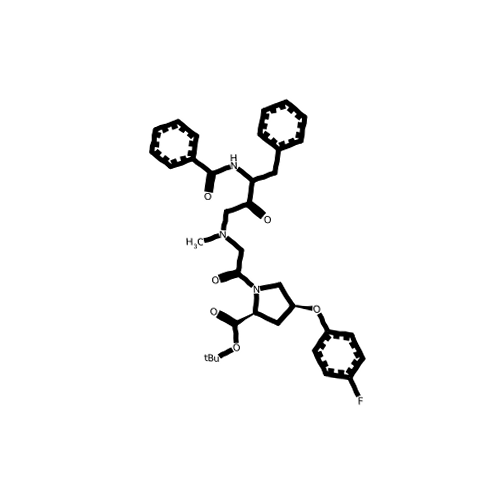 CN(CC(=O)C(Cc1ccccc1)NC(=O)c1ccccc1)CC(=O)N1C[C@@H](Oc2ccc(F)cc2)C[C@H]1C(=O)OC(C)(C)C